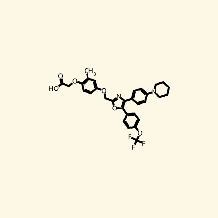 Cc1cc(OCc2nc(-c3ccc(N4CCCCC4)cc3)c(-c3ccc(OC(F)(F)F)cc3)o2)ccc1OCC(=O)O